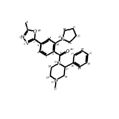 Cc1nnc(-c2ccc(C(=O)N3CCN(C)CC3c3ccccc3)c(N3CCCC3)c2)o1